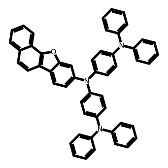 c1ccc(N(c2ccccc2)c2ccc(N(c3ccc(N(c4ccccc4)c4ccccc4)cc3)c3ccc4c(c3)oc3c5ccccc5ccc43)cc2)cc1